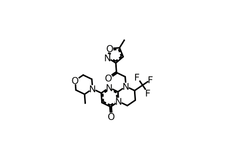 Cc1cc(C(=O)CN2c3nc(N4CCOCC4C)cc(=O)n3CCC2C(F)(F)F)no1